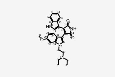 CCN(CC)CCn1cc(C2=C(c3c[nH]c4ccccc34)C(=O)NC2=O)c2ccc(OC)cc21